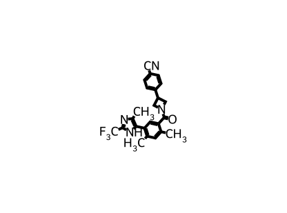 Cc1cc(C)c(-c2[nH]c(C(F)(F)F)nc2C)cc1C(=O)N1CC(c2ccc(C#N)cc2)C1